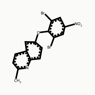 Cc1ccc2cc(Oc3c(Br)cc([N+](=O)[O-])cc3Br)ccc2n1